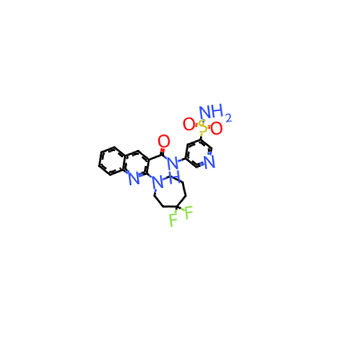 NS(=O)(=O)c1cncc(NC(=O)c2cc3ccccc3nc2N2CCCC(F)(F)CC2)c1